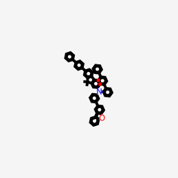 CC1(C)c2cc(-c3ccc(-c4ccccc4)cc3)ccc2-c2ccc(N(c3cccc(-c4ccc5oc6ccccc6c5c4)c3)c3ccccc3-c3ccc(-c4ccccc4)cc3)cc21